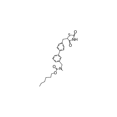 CCCCCCOC(=O)N(C)Cc1cccc(-c2ccc(CC3SC(=O)NC3=O)cc2)c1